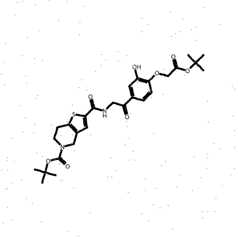 CC(C)(C)OC(=O)COc1ccc(C(=O)CNC(=O)c2cc3c(s2)CCN(C(=O)OC(C)(C)C)C3)cc1O